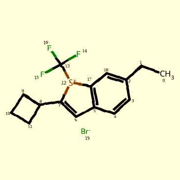 CCc1ccc2cc(C3CCC3)[s+](C(F)(F)F)c2c1.[Br-]